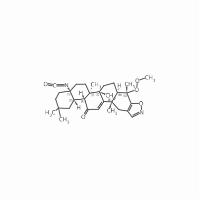 COO[C@]1(C)c2oncc2C[C@]2(C)C3=CC(=O)[C@@H]4[C@@H]5CC(C)(C)CC[C@]5(N=C=O)CC[C@@]4(C)[C@]3(C)CC[C@H]21